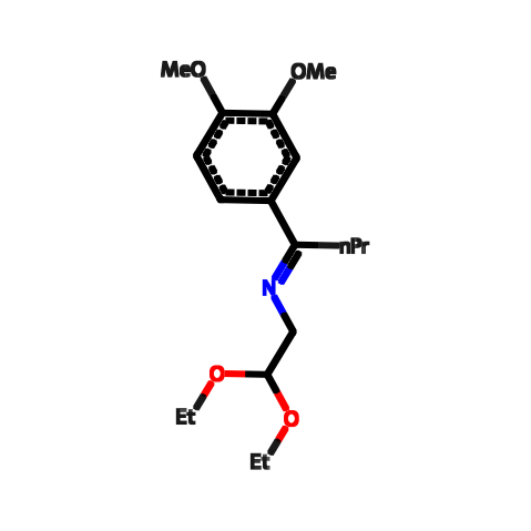 CCC/C(=N\CC(OCC)OCC)c1ccc(OC)c(OC)c1